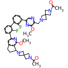 COc1nc(-c2cccc(-c3cccc(-c4cc5c(c(OC)n4)C(N4CC6(CN(C(C)=O)C6)C4)CC5)c3F)c2F)cnc1CN1CC2(C1)CN(C(C)=O)C2